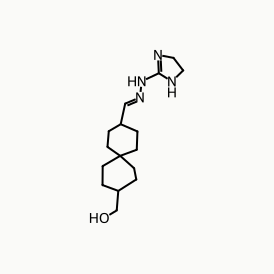 OCC1CCC2(CCC(C=NNC3=NCCN3)CC2)CC1